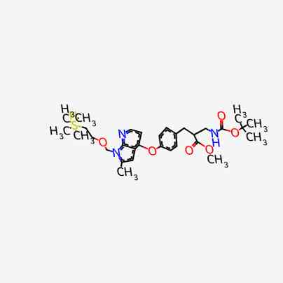 COC(=O)C(CNC(=O)OC(C)(C)C)Cc1ccc(Oc2ccnc3c2cc(C)n3COCC[SH](C)(C)(C)C)cc1